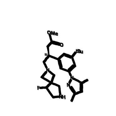 COC(=O)C[C@H](CN1CC2(CNCC2F)C1)c1cc(-n2nc(C)cc2C)cc(C(C)(C)C)c1